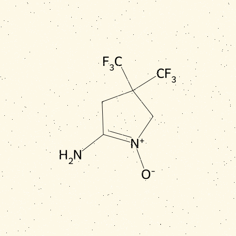 NC1=[N+]([O-])CC(C(F)(F)F)(C(F)(F)F)C1